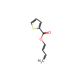 C=CC=COC(=O)c1cccs1